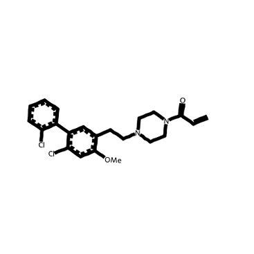 C=CC(=O)N1CCN(CCc2cc(-c3ccccc3Cl)c(Cl)cc2OC)CC1